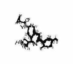 CCc1ccc(C)c(-c2cc3cnc(NC(=O)C4CC4)cc3c(C3C=NNC3)n2)c1